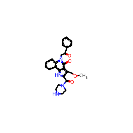 COCc1c(C(=O)N2CCNCC2)[nH]c2c1c(=O)n(CC(=O)c1ccccc1)c1ccccc21